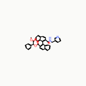 COC(=O)C(OC(=O)c1ccc2ccccc2c1-c1c(C(=O)NCc2cccnc2)ccc2ccccc12)c1ccccc1